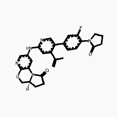 C=C(C)c1cc(Nc2cnc3c(c2)N2C(=O)CC[C@H]2CO3)ncc1-c1ccc(N2CCCC2=O)c(F)c1